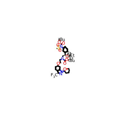 CC[Si](CC)(CC)O[C@@H](CN(CCOc1ccc2c(C(F)(F)F)nn(C3CCCCO3)c2c1)C(=O)OC(C)(C)C)c1cccc(N(C(=O)OC(C)(C)C)S(C)(=O)=O)c1